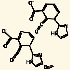 O=C=C1C(C(=O)[O-])=CC=CC1c1ncc[nH]1.O=C=C1C(C(=O)[O-])=CC=CC1c1ncc[nH]1.[Ba+2]